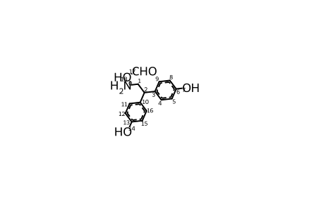 NCC(c1ccc(O)cc1)c1ccc(O)cc1.O=CO